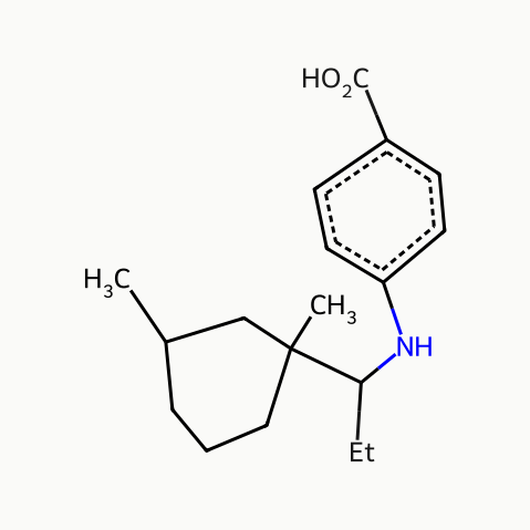 CCC(Nc1ccc(C(=O)O)cc1)C1(C)CCCC(C)C1